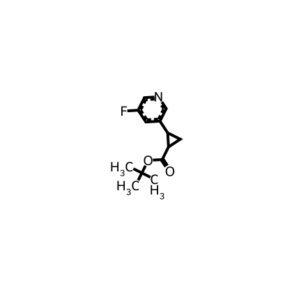 CC(C)(C)OC(=O)C1CC1c1cncc(F)c1